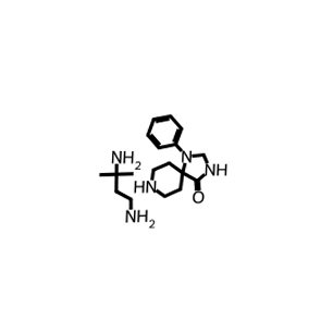 CC(C)(N)CCN.O=C1NCN(c2ccccc2)C12CCNCC2